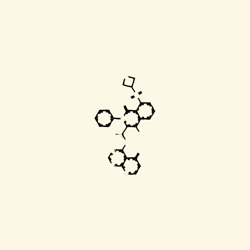 C[C@H](Nc1ncnc2[nH]ccc(=O)c12)c1c(Cl)c2cccc(S(=O)(=O)C3COC3)c2c(=O)n1-c1ccccc1